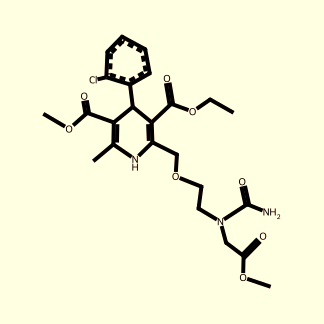 CCOC(=O)C1=C(COCCN(CC(=O)OC)C(N)=O)NC(C)=C(C(=O)OC)C1c1ccccc1Cl